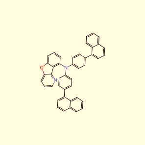 c1ccc2c(-c3ccc(N(c4ccc(-c5cccc6ccccc56)cc4)c4cccc5oc6cccnc6c45)cc3)cccc2c1